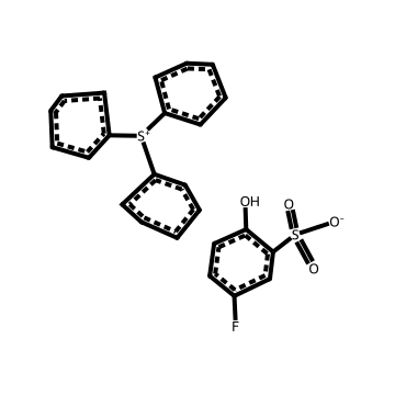 O=S(=O)([O-])c1cc(F)ccc1O.c1ccc([S+](c2ccccc2)c2ccccc2)cc1